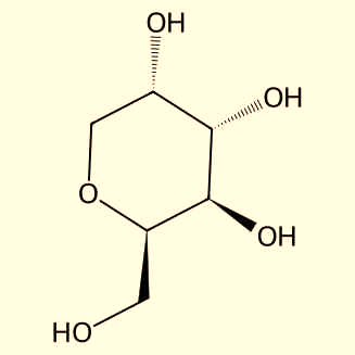 OC[C@H]1OC[C@H](O)[C@H](O)[C@H]1O